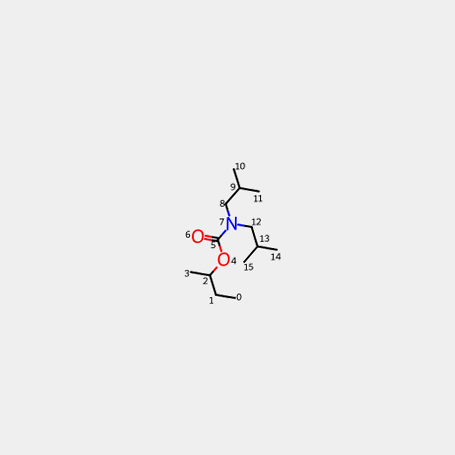 CCC(C)OC(=O)N(CC(C)C)CC(C)C